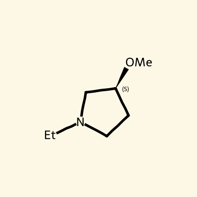 CCN1CC[C@H](OC)C1